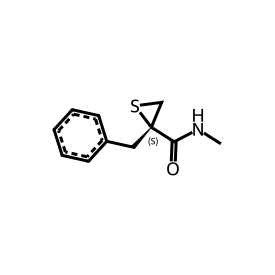 CNC(=O)[C@@]1(Cc2ccccc2)CS1